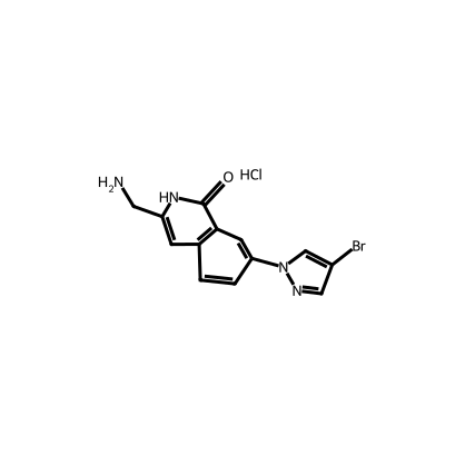 Cl.NCc1cc2ccc(-n3cc(Br)cn3)cc2c(=O)[nH]1